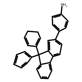 Nc1ccc(-c2ccc3c(c2)C(C2=CCCC=C2)(c2ccccc2)c2ccccc2-3)cc1